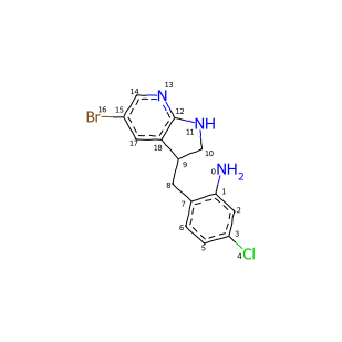 Nc1cc(Cl)ccc1CC1CNc2ncc(Br)cc21